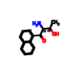 C[C@@H](O)[C@H](N)C(=O)c1[c]ccc2ccccc12